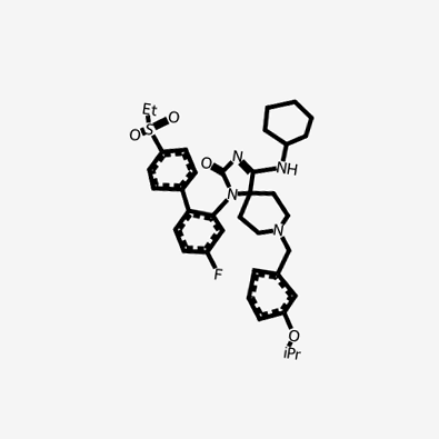 CCS(=O)(=O)c1ccc(-c2ccc(F)cc2N2C(=O)N=C(NC3CCCCC3)C23CCN(Cc2cccc(OC(C)C)c2)CC3)cc1